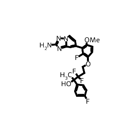 COc1ccc(OCCC(F)(F)C(C)(O)c2ccc(F)cc2)c(F)c1-c1ccn2nc(N)nc2c1